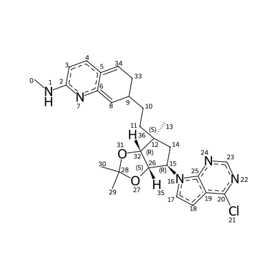 CNc1ccc2c(n1)=CC(CC[C@@]1(C)C[C@@H](n3ccc4c(Cl)ncnc43)[C@@H]3OC(C)(C)O[C@@H]31)CC=2